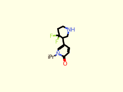 CC(C)n1cc(C2CNCCC2(F)F)ccc1=O